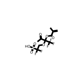 C=C(C)C(=O)OC(OCC(F)(F)S(=O)(=O)O)(C(C)=O)C(F)(F)F